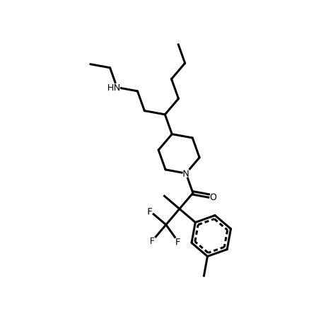 CCCCC(CCNCC)C1CCN(C(=O)C(C)(c2cccc(C)c2)C(F)(F)F)CC1